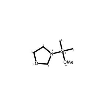 CO[Si](C)(C)N1CCOC1